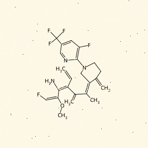 C=C/C(C(=C)/C(C)=C1\CN(c2ncc(C(F)(F)F)cc2F)CCC1=C)=C(N)/C(=C\F)OC